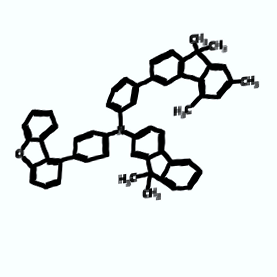 Cc1cc(C)c2c(c1)C(C)(C)c1ccc(-c3cccc(N(c4ccc(-c5cccc6oc7ccccc7c56)cc4)c4ccc5c(c4)C(C)(C)c4ccccc4-5)c3)cc1-2